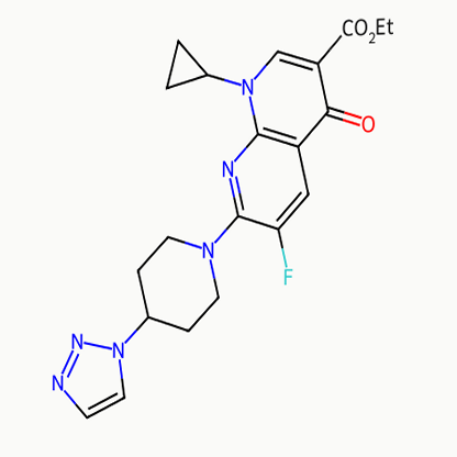 CCOC(=O)c1cn(C2CC2)c2nc(N3CCC(n4ccnn4)CC3)c(F)cc2c1=O